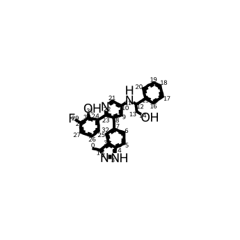 Cc1n[nH]c2ccc(-c3cc(NC(CO)c4ccccc4)cnc3-c3cccc(F)c3O)cc12